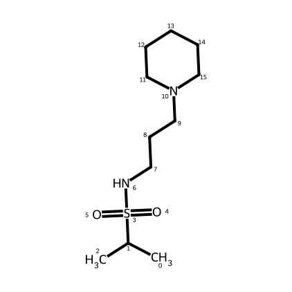 CC(C)S(=O)(=O)NCCCN1CCCCC1